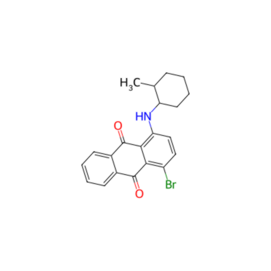 CC1CCCCC1Nc1ccc(Br)c2c1C(=O)c1ccccc1C2=O